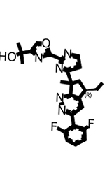 CC[C@@H]1CC(C)(c2ccnc(-c3nc(C(C)(C)O)co3)n2)c2nnc(-c3c(F)cccc3F)cc21